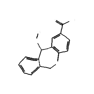 CSC1c2ccccc2COc2ccc(C(=O)O)cc21